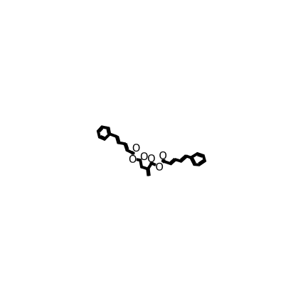 C=C(CC(=O)OC(=O)C=CC=Cc1ccccc1)C(=O)OC(=O)C=CC=Cc1ccccc1